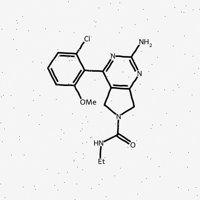 CCNC(=O)N1Cc2nc(N)nc(-c3c(Cl)cccc3OC)c2C1